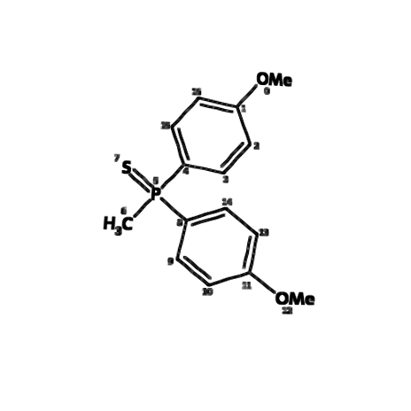 COc1ccc(P(C)(=S)c2ccc(OC)cc2)cc1